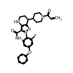 C=CC(=O)N1CCC(C2CCNc3c2nn(-c2ccc(Oc4ccccc4)cc2F)c3C(N)=O)CC1